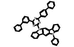 c1ccc(-c2ccc(-c3nc(-c4cccc(-c5ccccc5)c4)nc(-n4c5ccccc5c5cc6c(cc54)c4ccccc4n6-c4ccccc4)n3)cc2)cc1